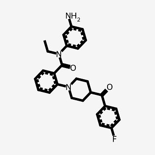 CCN(C(=O)c1ccccc1N1CCC(C(=O)c2ccc(F)cc2)CC1)c1cccc(N)c1